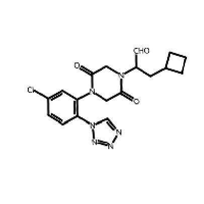 O=CC(CC1CCC1)N1CC(=O)N(c2cc(Cl)ccc2-n2cnnn2)CC1=O